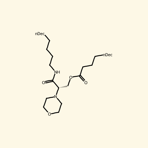 CCCCCCCCCCCCCCNC(=O)[C@H](COC(=O)CCCCCCCCCCCCC)N1CCOCC1